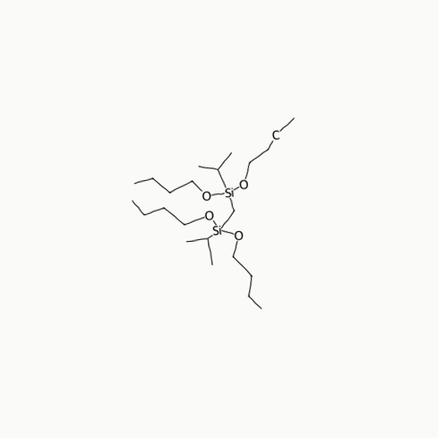 CCCCO[Si](C[Si](OCCCC)(OCCCC)C(C)C)(OCCCC)C(C)C